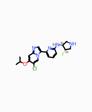 CC(C)Oc1cc2ncc(-c3cccc(N[C@H]4CNC[C@@H]4F)n3)n2cc1Cl